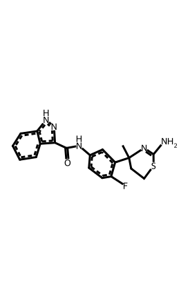 CC1(c2cc(NC(=O)c3n[nH]c4ccccc34)ccc2F)CCSC(N)=N1